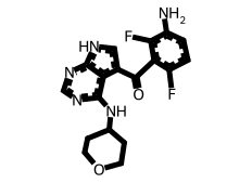 Nc1ccc(F)c(C(=O)c2c[nH]c3ncnc(NC4CCOCC4)c23)c1F